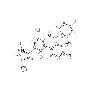 Cc1ccc(COc2c(Cl)cc(-c3cc(C(F)(F)F)nn3C)c(O)c2-c2ccc(Cl)c(C(F)(F)F)c2)cc1